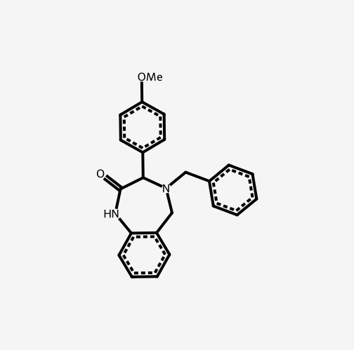 COc1ccc(C2C(=O)Nc3ccccc3CN2Cc2ccccc2)cc1